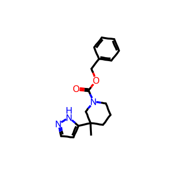 CC1(c2ccn[nH]2)CCCN(C(=O)OCc2ccccc2)C1